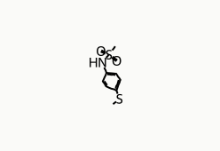 CSc1ccc(NS(C)(=O)=O)cc1